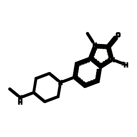 [2H]n1c(=O)n(C)c2cc(N3CCC(NC)CC3)ccc21